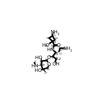 CN[C@@H]1[C@@H](O)[C@@H](O[C@H]([C@H](C)O)[C@@H](CCN)NC(=O)C2(O)CC(N)C2)OC[C@]1(C)O